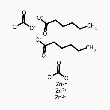 CCCCCC(=O)[O-].CCCCCC(=O)[O-].O=C([O-])[O-].O=C([O-])[O-].[Zn+2].[Zn+2].[Zn+2]